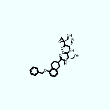 CC(C)C[C@H](NC(=O)[C@H](CO)NC(=O)C1CCc2c(cccc2OCc2ccccc2)C1)C(=O)[C@@]1(CO)CO1